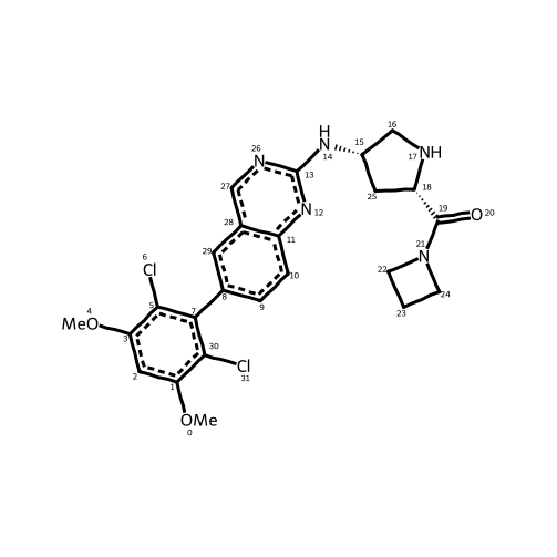 COc1cc(OC)c(Cl)c(-c2ccc3nc(N[C@@H]4CN[C@H](C(=O)N5CCC5)C4)ncc3c2)c1Cl